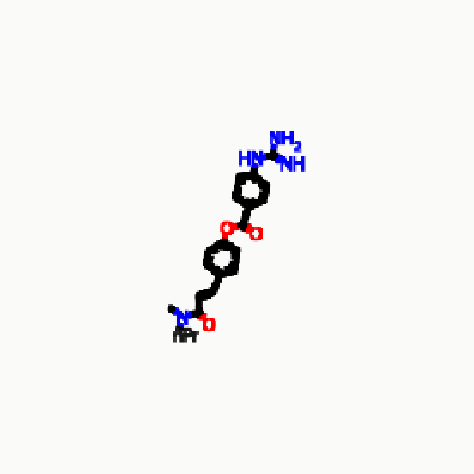 CCCN(C)C(=O)/C=C/c1ccc(OC(=O)c2ccc(NC(=N)N)cc2)cc1